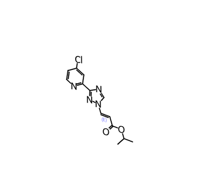 CC(C)OC(=O)/C=C/n1cnc(-c2cc(Cl)ccn2)n1